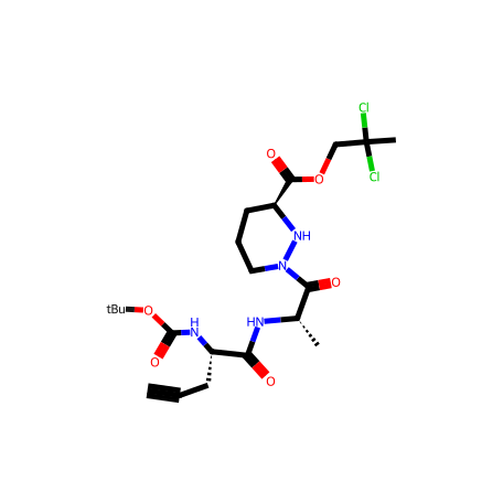 C#CC[C@H](NC(=O)OC(C)(C)C)C(=O)N[C@@H](C)C(=O)N1CCC[C@@H](C(=O)OCC(C)(Cl)Cl)N1